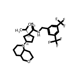 CC(C)[C@]1(C(=O)NCc2cc(C(F)(F)F)cc(C(F)(F)F)c2)CC[C@@H](N2CCCC3COCCC32)C1